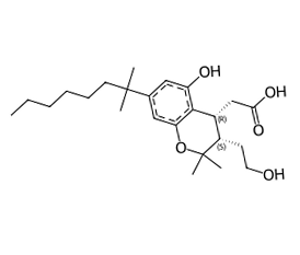 CCCCCCC(C)(C)c1cc(O)c2c(c1)OC(C)(C)[C@@H](CCO)[C@H]2CC(=O)O